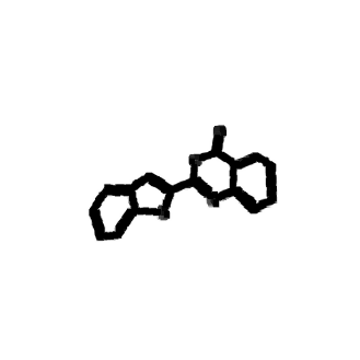 O=c1oc(-c2cc3ccccc3s2)nc2ccccc12